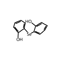 Oc1ccccc1[Se]c1ccccc1O